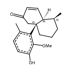 COc1c(O)ccc(C)c1[C@]12CCC[C@H](C)[C@@H]1C=CC(=O)C2